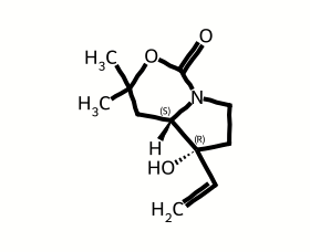 C=C[C@]1(O)CCN2C(=O)OC(C)(C)C[C@H]21